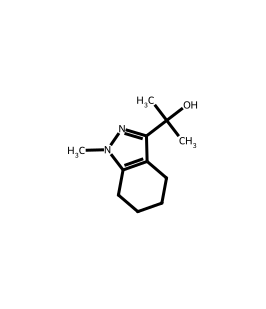 Cn1nc(C(C)(C)O)c2c1CCCC2